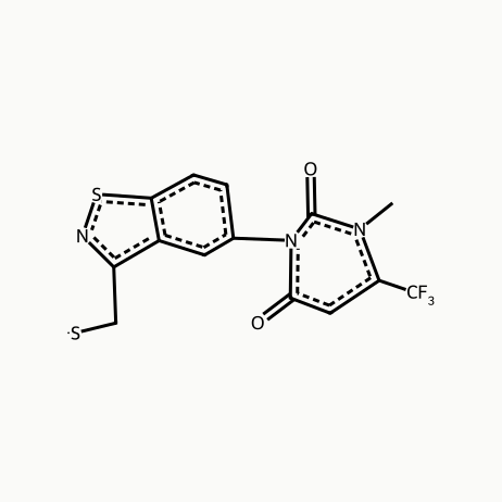 Cn1c(C(F)(F)F)cc(=O)n(-c2ccc3snc(C[S])c3c2)c1=O